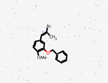 COc1ccc(/C=C(\C)C(C)=O)cc1OCc1ccccc1